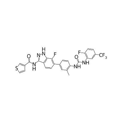 Cc1cc(-c2ccc3c(NC(=O)c4ccsc4)n[nH]c3c2F)ccc1NC(=O)Nc1cc(C(F)(F)F)ccc1F